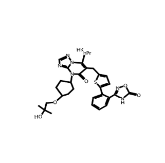 CCCc1c(Cc2ccc(-c3ccccc3-c3noc(=O)[nH]3)s2)c(=O)n(C2CCC(OCC(C)(C)O)CC2)c2ncnn12.[KH]